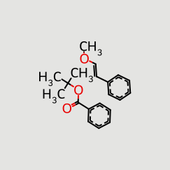 CC(C)(C)OC(=O)c1ccccc1.COC=Cc1ccccc1